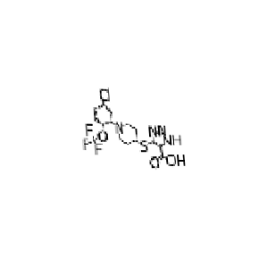 O=C(O)c1[nH]nnc1SC1CCN(c2cc(Cl)ccc2OC(F)(F)F)CC1